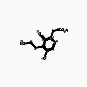 O=C(O)Cn1ncc(Cl)c(CCO)c1=O